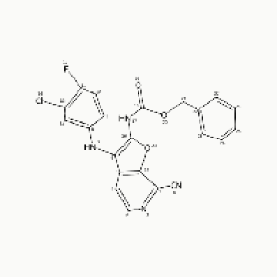 N#Cc1nccc2c(Nc3ccc(F)c(Cl)c3)c(NC(=O)OCc3ccccc3)oc12